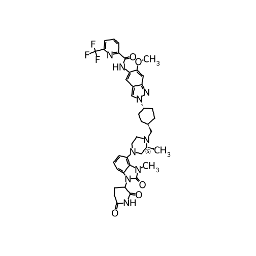 COc1cc2nn([C@H]3CC[C@H](CN4CCN(c5cccc6c5n(C)c(=O)n6C5CCC(=O)NC5=O)C[C@@H]4C)CC3)cc2cc1NC(=O)c1cccc(C(F)(F)F)n1